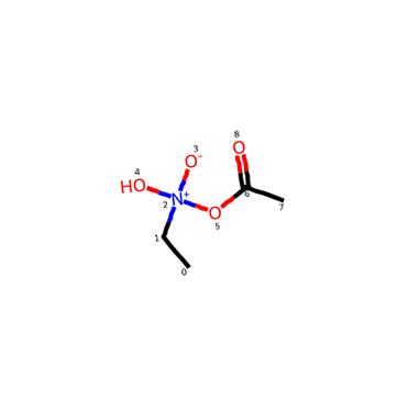 CC[N+]([O-])(O)OC(C)=O